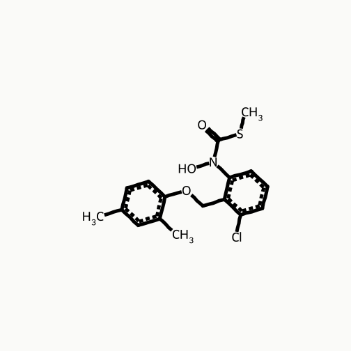 CSC(=O)N(O)c1cccc(Cl)c1COc1ccc(C)cc1C